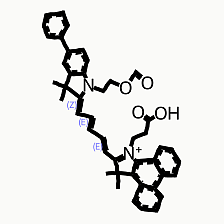 CC1(C)C(/C=C/C=C/C=C2\N(CCOC=O)c3ccc(-c4ccccc4)cc3C2(C)C)=[N+](CCC(=O)O)c2c1c1ccccc1c1ccccc21